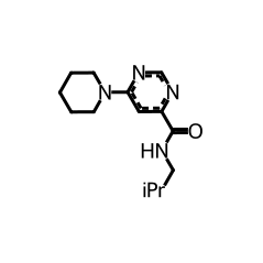 CC(C)CNC(=O)c1cc(N2CCCCC2)ncn1